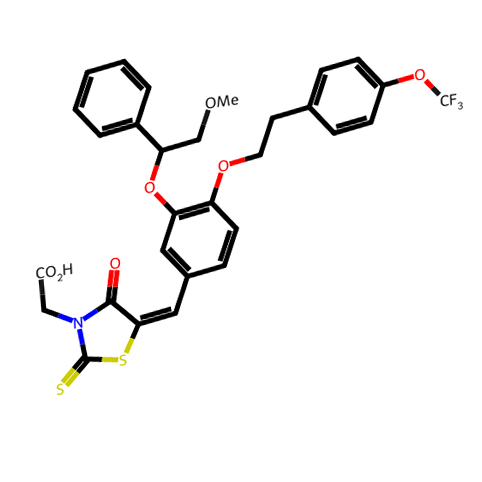 COCC(Oc1cc(C=C2SC(=S)N(CC(=O)O)C2=O)ccc1OCCc1ccc(OC(F)(F)F)cc1)c1ccccc1